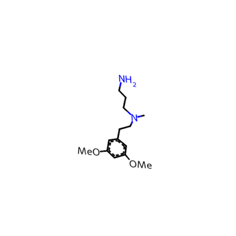 COc1cc(CCN(C)CCCN)cc(OC)c1